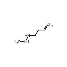 C=CCCNPP